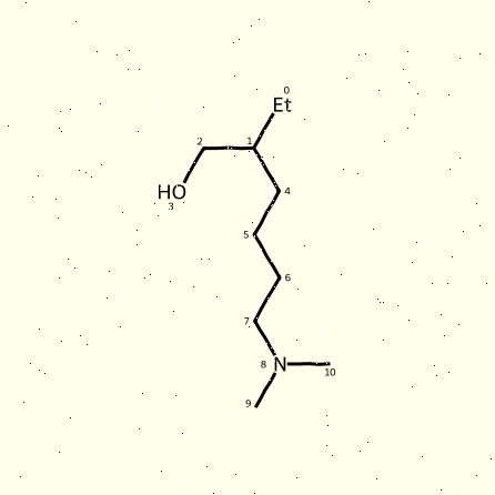 CCC(CO)CCCCN(C)C